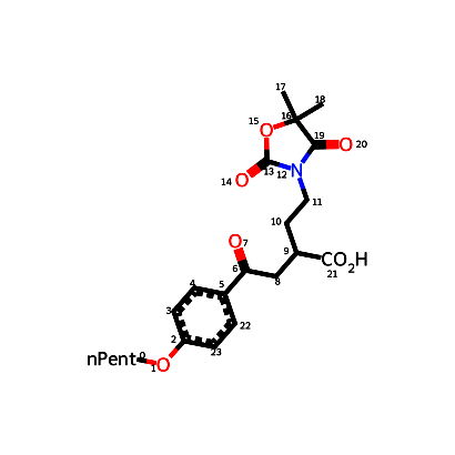 CCCCCOc1ccc(C(=O)CC(CCN2C(=O)OC(C)(C)C2=O)C(=O)O)cc1